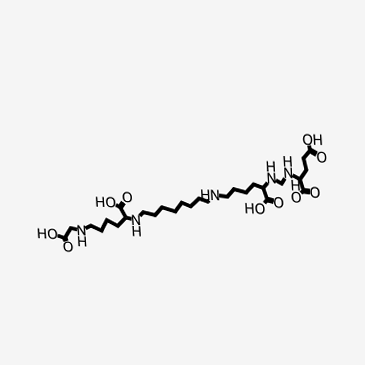 O=C(O)CCC(NCNC(CCCCNCCCCCCCCNC(CCCCNCC(=O)O)C(=O)O)C(=O)O)C(=O)O